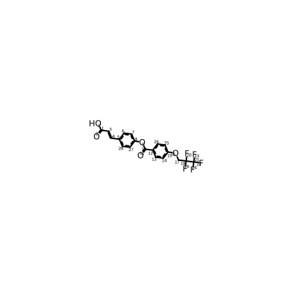 O=C(O)C=Cc1ccc(OC(=O)c2ccc(OCC(F)(F)C(F)(F)F)cc2)cc1